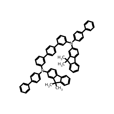 CC1(C)c2ccccc2-c2ccc(N(c3ccc(-c4ccccc4)cc3)c3cccc(-c4ccc(-c5cccc(N(c6ccc(-c7ccccc7)cc6)c6ccc7c(c6)C(C)(C)c6ccccc6-7)c5)cc4)c3)cc21